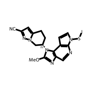 COc1nc2cnc3c(ccn3SI)c2n1[C@H]1CCc2cc(C#N)nn2C1